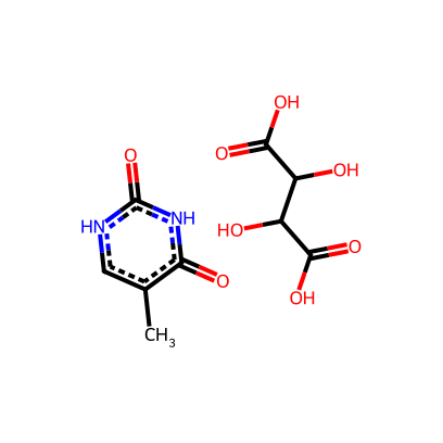 Cc1c[nH]c(=O)[nH]c1=O.O=C(O)C(O)C(O)C(=O)O